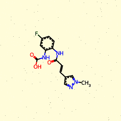 Cn1cc(C=CC(=O)Nc2ccc(F)cc2NC(=O)O)cn1